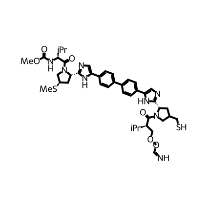 COC(=O)N[C@H](C(=O)N1C[C@H](SC)C[C@H]1c1ncc(-c2ccc(-c3ccc(-c4cnc([C@@H]5CC(CS)CN5C(=O)[C@@H](COOC=N)C(C)C)[nH]4)cc3)cc2)[nH]1)C(C)C